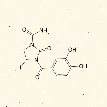 NC(=O)N1CC(I)N(C(=O)c2ccc(O)c(O)c2)C1=O